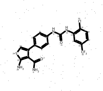 NC(=O)c1c(-c2ccc(NC(=O)Nc3cc(C(F)(F)F)ccc3Cl)cc2)csc1N